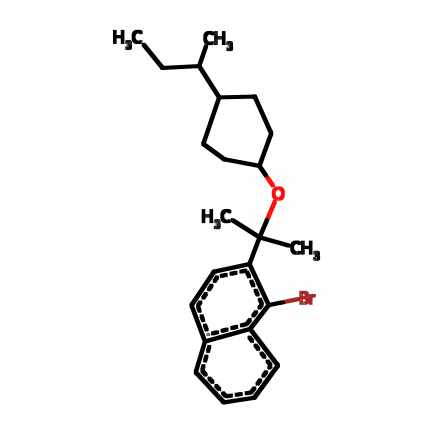 CCC(C)C1CCC(OC(C)(C)c2ccc3ccccc3c2Br)CC1